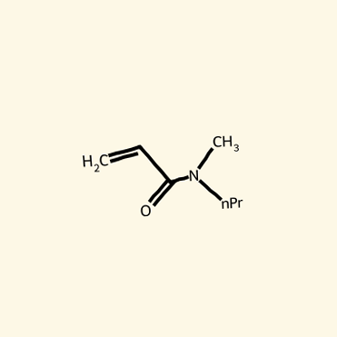 [CH2]CCN(C)C(=O)C=C